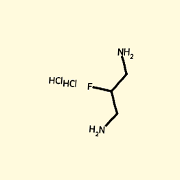 Cl.Cl.NCC(F)CN